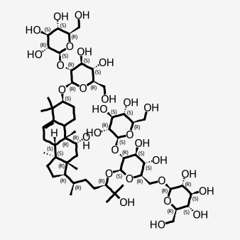 C[C@H](CC[C@@H](O[C@@H]1O[C@H](CO[C@@H]2O[C@H](CO)[C@@H](O)[C@H](O)[C@H]2O)[C@@H](O)[C@H](O)[C@H]1O[C@@H]1O[C@H](CO)[C@@H](O)[C@H](O)[C@H]1O)C(C)(C)O)[C@H]1CC[C@@]2(C)[C@@H]3CC=C4C(CC[C@H](O[C@@H]5O[C@H](CO)[C@@H](O)[C@H](O)[C@H]5O[C@@H]5O[C@H](CO)[C@@H](O)[C@H](O)[C@H]5O)C4(C)C)[C@]3(C)[C@H](O)C[C@]12C